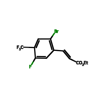 CCOC(=O)C=Cc1cc(F)c(C(F)(F)F)cc1Br